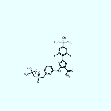 CC(C)(O)CS(=O)(=O)Cc1cccc(Nc2sc(-c3c(F)cc(C(C)(C)O)cc3F)cc2C(N)=O)n1